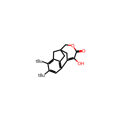 CC(C)(C)c1cc2c3c(c1C(C)(C)C)CC1(COC(=O)C(O)=C2C1)C3